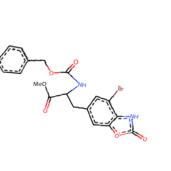 COC(=O)C(Cc1cc(Br)c2[nH]c(=O)oc2c1)NC(=O)OCc1ccccc1